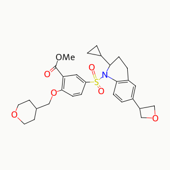 COC(=O)c1cc(S(=O)(=O)N2c3ccc(C4COC4)cc3CCC2C2CC2)ccc1OCC1CCOCC1